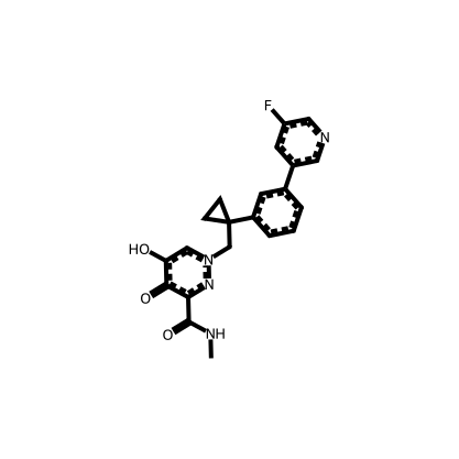 CNC(=O)c1nn(CC2(c3cccc(-c4cncc(F)c4)c3)CC2)cc(O)c1=O